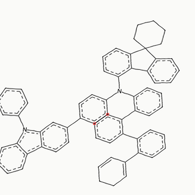 C1=CC(c2ccccc2-c2ccccc2-c2ccccc2N(c2ccc(-c3ccc4c5ccccc5n(-c5ccccc5)c4c3)cc2)c2cccc3c2-c2ccccc2C32CCCCC2)=CCC1